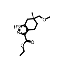 CCOC(=O)c1n[nH]c2c1CC[C@@](C)(COC)C2